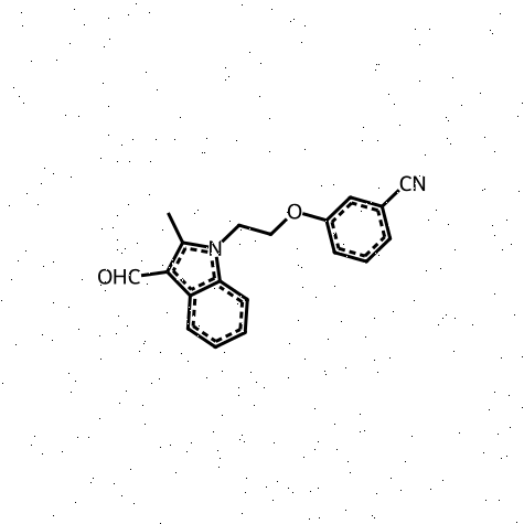 Cc1c(C=O)c2ccccc2n1CCOc1cccc(C#N)c1